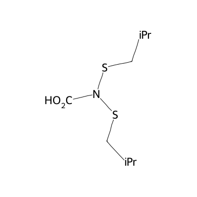 CC(C)CSN(SCC(C)C)C(=O)O